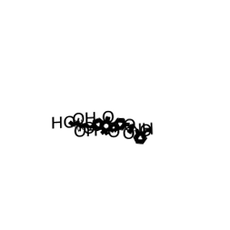 COc1ccccc1NC(=O)Oc1ccc2c3c(oc2c1)C(C)(C)c1cc(OC[C@@H](O)[C@H](O)CO)ccc1C3=O